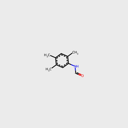 Cc1cc(C)c(N[C]=O)cc1C